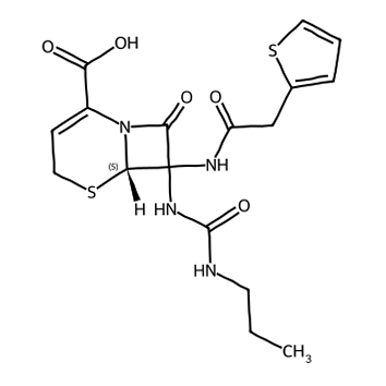 CCCNC(=O)NC1(NC(=O)Cc2cccs2)C(=O)N2C(C(=O)O)=CCS[C@H]21